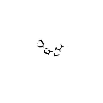 CC(=O)OC(C(=O)O)C1OCCN(c2ccn(-c3ccnnc3)n2)C1=O